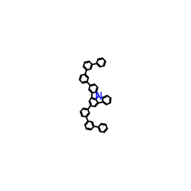 c1ccc(-c2cccc(-c3cccc(-c4ccc5c(c4)c4cc(-c6cccc(-c7cccc(-c8ccccc8)c7)c6)cc6c7ccccc7n5c64)c3)c2)cc1